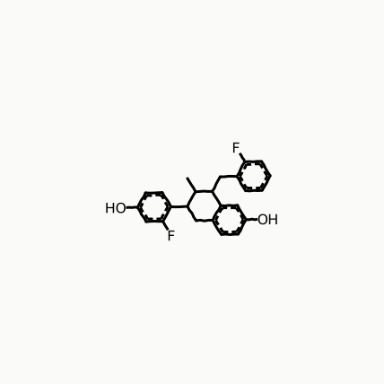 CC1C(c2ccc(O)cc2F)Cc2ccc(O)cc2C1Cc1ccccc1F